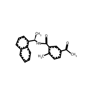 CC(=O)c1ccc(C)c(C(=O)N[C@H](C)c2cccc3ccccc23)c1